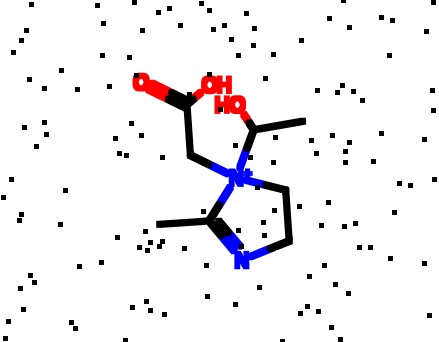 CC1=NCC[N+]1(CC(=O)O)C(C)O